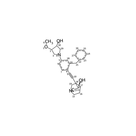 COC1CN(c2ccc(C#C[C@@]3(O)CN4CCC3CC4)c(Cc3ccccc3)c2)CC1O